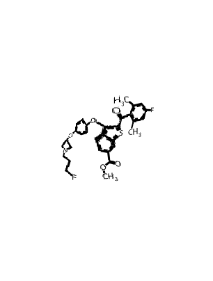 COC(=O)c1ccc2c(Oc3ccc(OC4CN(CCCF)C4)cc3)c(C(=O)c3c(C)cc(F)cc3C)sc2c1